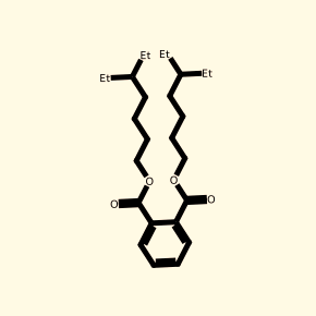 CCC(CC)CCCCOC(=O)c1ccccc1C(=O)OCCCCC(CC)CC